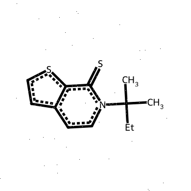 CCC(C)(C)n1ccc2ccsc2c1=S